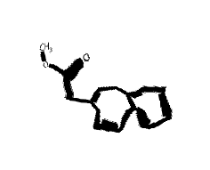 COC(=O)[CH]c1ccc2ccccc2c1